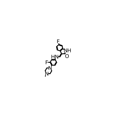 CN1CCN(c2ccc(N/C=C3/C(=O)Nc4cc(F)ccc43)cc2F)CC1